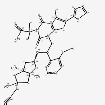 CSc1ccccc1C(Cn1c(=S)n(C(C)(C)C(=O)O)c(=O)c2c(C)c(-c3ncco3)sc21)O[C@H]1C[C@@]2(N)CC(O)(CC#N)C[C@@]2(N)C1